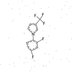 Fc1ccc(-n2ccc(C(F)(F)F)c2)c(F)c1